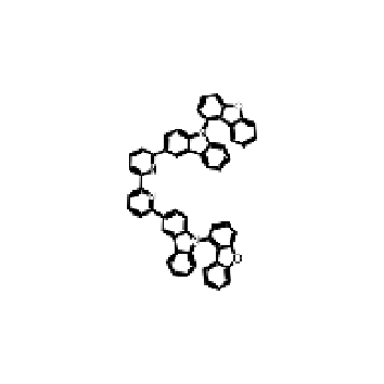 c1cc(-c2ccc3c(c2)c2ccccc2n3-c2cccc3oc4ccccc4c23)nc(-c2cccc(-c3ccc4c(c3)c3ccccc3n4-c3cccc4oc5ccccc5c34)n2)c1